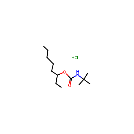 CCCCCC(CC)OC(=O)NC(C)(C)C.Cl